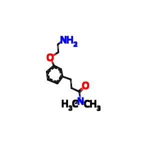 CN(C)C(=O)CCc1cccc(OCCN)c1